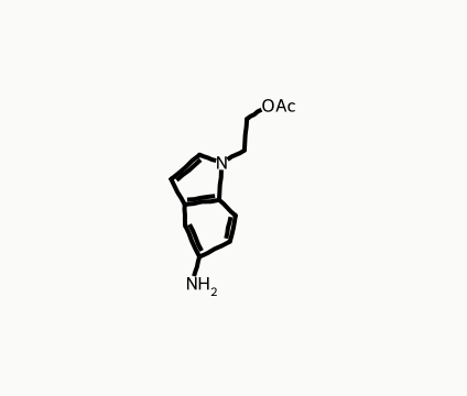 CC(=O)OCCn1ccc2cc(N)ccc21